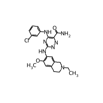 CCN1CCc2cc(OC)c(Nc3nnc(C(N)=O)c(Nc4cccc(Cl)c4)n3)cc2C1